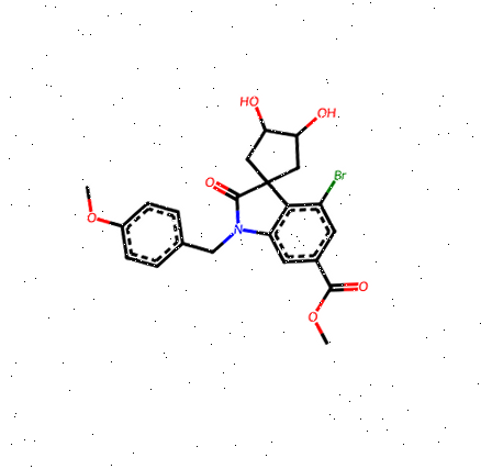 COC(=O)c1cc(Br)c2c(c1)N(Cc1ccc(OC)cc1)C(=O)C21CC(O)C(O)C1